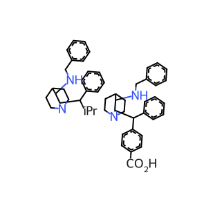 CC(C)C(c1ccccc1)C1C(NCc2ccccc2)C2CCN1CC2.O=C(O)c1ccc(C(c2ccccc2)C2C(NCc3ccccc3)C3CCN2CC3)cc1